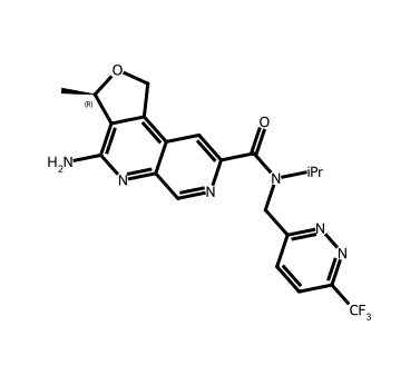 CC(C)N(Cc1ccc(C(F)(F)F)nn1)C(=O)c1cc2c3c(c(N)nc2cn1)[C@@H](C)OC3